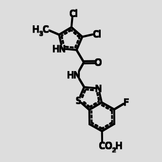 Cc1[nH]c(C(=O)Nc2nc3c(F)cc(C(=O)O)cc3s2)c(Cl)c1Cl